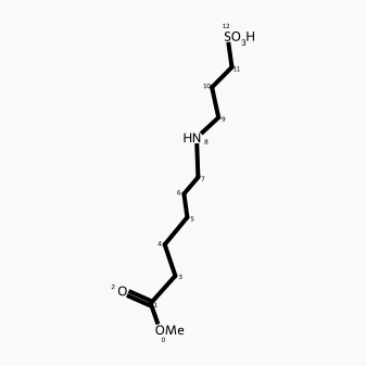 COC(=O)CCCCCNCCCS(=O)(=O)O